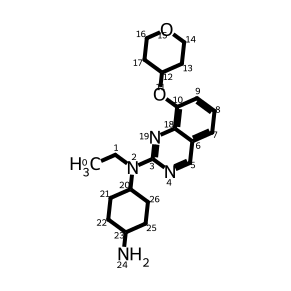 CCN(c1ncc2cccc(OC3CCOCC3)c2n1)C1CCC(N)CC1